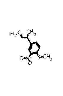 C=C[C](C)c1ccc(SC)c([N+](=O)[O-])c1